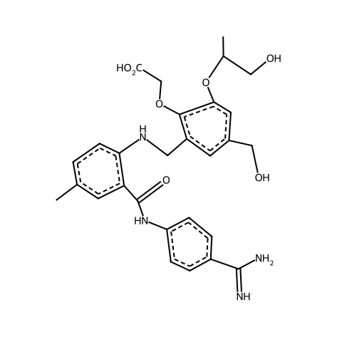 Cc1ccc(NCc2cc(CO)cc(OC(C)CO)c2OCC(=O)O)c(C(=O)Nc2ccc(C(=N)N)cc2)c1